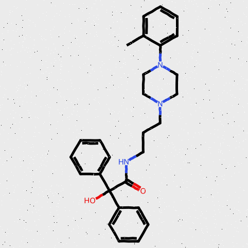 Cc1ccccc1N1CCN(CCCNC(=O)C(O)(c2ccccc2)c2ccccc2)CC1